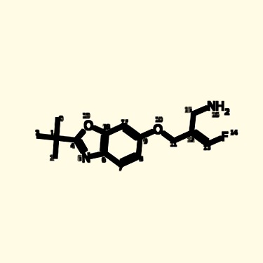 CC(C)(C)c1nc2ccc(OC/C(=C/F)CN)cc2o1